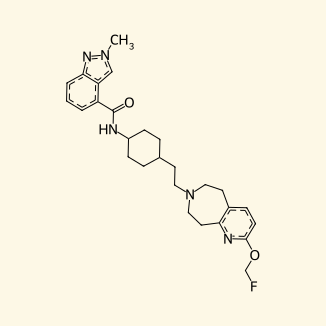 Cn1cc2c(C(=O)NC3CCC(CCN4CCc5ccc(OCF)nc5CC4)CC3)cccc2n1